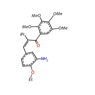 CCOc1ccc(C=C(C(=O)c2cc(OC)c(OC)c(OC)c2OC)C(C)C)cc1N